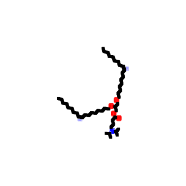 CCCCCCCC/C=C\CCCCCCCCOCC(COC(=O)CCCN(C(C)C)C(C)C)OCCCCCCCC/C=C\CCCCCCCC